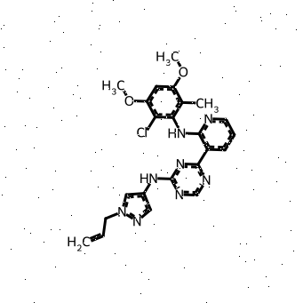 C=CCn1cc(Nc2ncnc(-c3cccnc3Nc3c(C)c(OC)cc(OC)c3Cl)n2)cn1